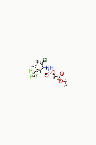 CCOC(=O)COC(=O)Nc1cc(C(F)(F)F)ccc1Cl